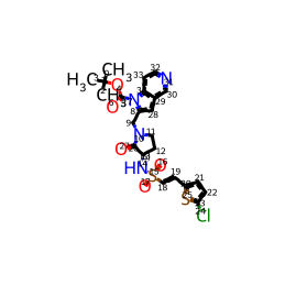 CC(C)(C)OC(=O)n1c(CN2CC[C@H](NS(=O)(=O)C=Cc3ccc(Cl)s3)C2=O)cc2cnccc21